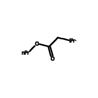 CCCOC(=O)C[C](C)C